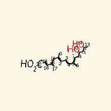 CC(=CC=CC(C)=CCC(O)CC(C)O)C=C(C)C=CC(=O)O